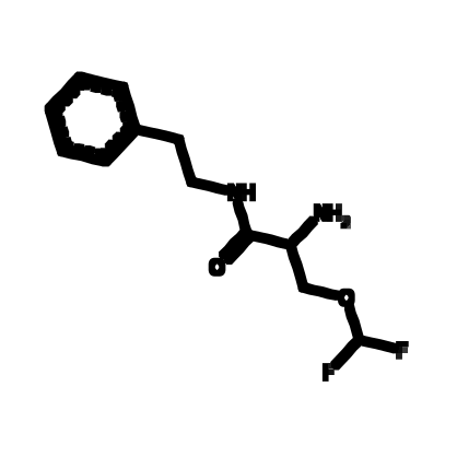 NC(COC(F)F)C(=O)NCCc1ccccc1